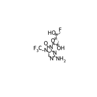 Nc1ncc2c(n1)n([C@@H]1O[C@H]([C@@H](O)CF)C[C@H]1O)c(=O)n2CC(F)(F)F